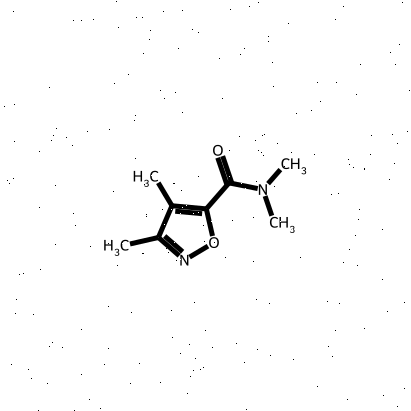 Cc1noc(C(=O)N(C)C)c1C